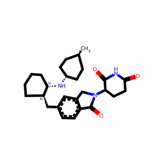 C[C@H]1CC[C@H](N[C@H]2CCCC[C@@H]2Cc2ccc3c(c2)CN(C2CCC(=O)NC2=O)C3=O)CC1